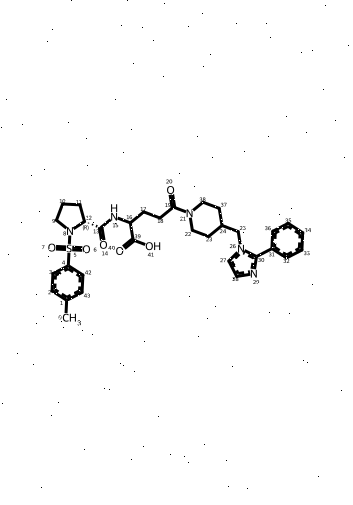 Cc1ccc(S(=O)(=O)N2CCC[C@@H]2C(=O)NC(CCC(=O)N2CCC(Cn3ccnc3-c3ccccc3)CC2)C(=O)O)cc1